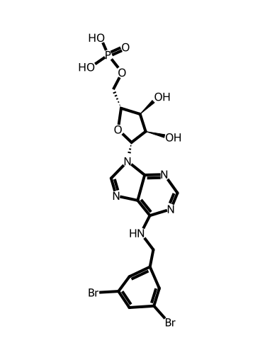 O=P(O)(O)OC[C@H]1O[C@@H](n2cnc3c(NCc4cc(Br)cc(Br)c4)ncnc32)[C@H](O)[C@@H]1O